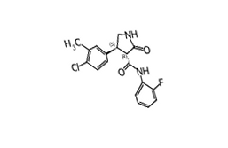 Cc1cc([C@H]2CNC(=O)[C@@H]2C(=O)Nc2ccccc2F)ccc1Cl